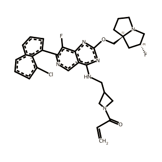 C=CC(=O)N1CC(CNc2nc(OC[C@@]34CCCN3C[C@H](F)C4)nc3c(F)c(-c4cccc5cccc(Cl)c45)ncc23)C1